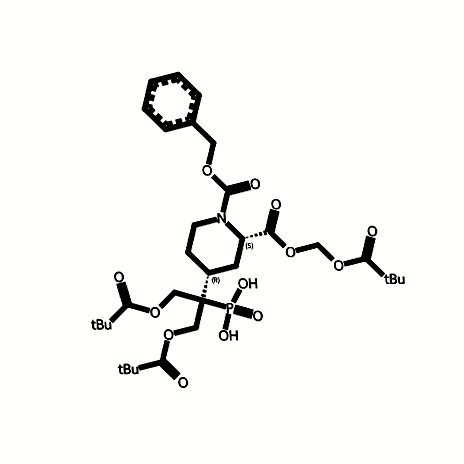 CC(C)(C)C(=O)OCOC(=O)[C@@H]1C[C@H](C(COC(=O)C(C)(C)C)(COC(=O)C(C)(C)C)P(=O)(O)O)CCN1C(=O)OCc1ccccc1